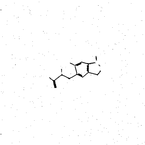 N[C@@H](Cc1cc2c(cc1F)B(O)OC2)C(=O)O